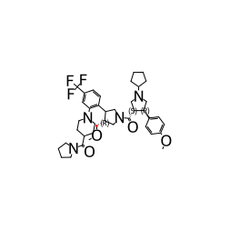 COC[C@H]1CN(C(=O)[C@@H]2CN(C3CCCC3)C[C@H]2c2ccc(OC)cc2)CC1c1ccc(C(F)(F)F)cc1N1CCC(C(=O)N2CCCC2)CC1